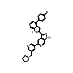 Fc1ccc(-c2cccc3[nH]c(-c4n[nH]c5cnc(-c6cncc(CN7CCCC7)c6)cc45)cc23)cc1